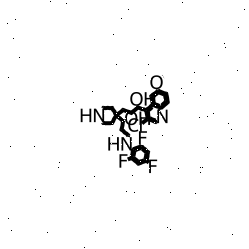 COc1ccc2ncc(Cl)c([C@H](O)CCC3([C@@H](O)CCNc4c(F)cc(F)cc4F)CCNCC3)c2c1